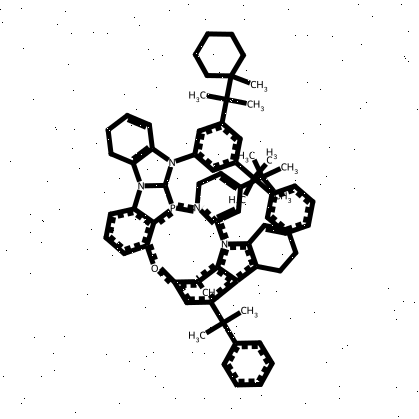 Cc1c2cc(C(C)(C)c3ccccc3)c3c4c(n(c5n(p6c7c(cccc7o2)N2C7=C(C=CCC7)N(c7cc(C(C)(C)c8ccccc8)cc(C(C)(C)C8(C)CCCCC8)c7)C26)CC=C(C(C)(C)C)C=5)c13)C=CCC4